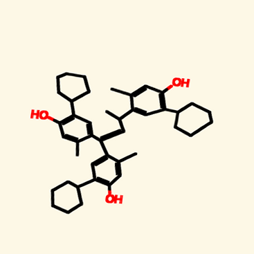 Cc1cc(O)c(C2CCCCC2)cc1C(=CC(C)c1cc(C2CCCCC2)c(O)cc1C)c1cc(C2CCCCC2)c(O)cc1C